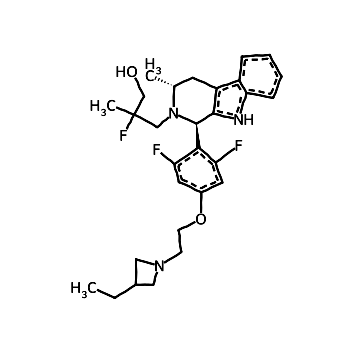 CCC1CN(CCOc2cc(F)c([C@@H]3c4[nH]c5ccccc5c4C[C@@H](C)N3CC(C)(F)CO)c(F)c2)C1